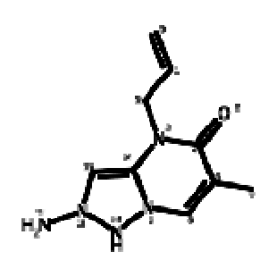 C=CCN1C(=O)C(C)=CN2NN(N)C=C21